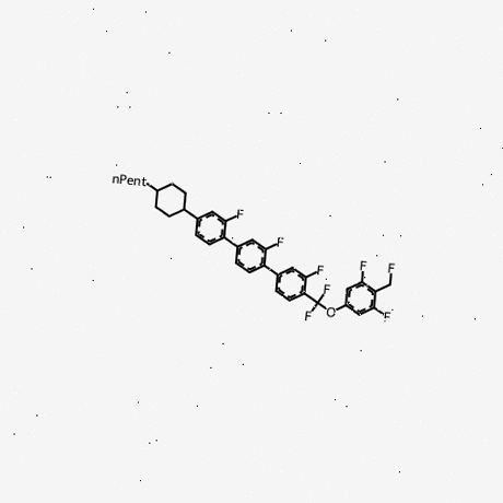 CCCCCC1CCC(c2ccc(-c3ccc(-c4ccc(C(F)(F)Oc5cc(F)c(CF)c(F)c5)c(F)c4)c(F)c3)c(F)c2)CC1